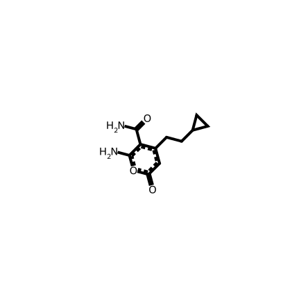 NC(=O)c1c(CCC2CC2)cc(=O)oc1N